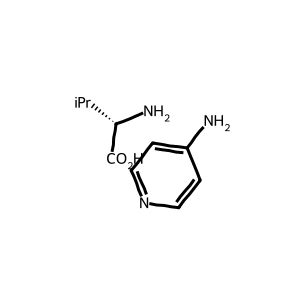 CC(C)[C@H](N)C(=O)O.Nc1ccncc1